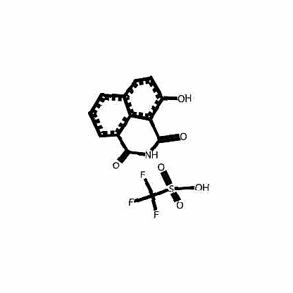 O=C1NC(=O)c2c(O)ccc3cccc1c23.O=S(=O)(O)C(F)(F)F